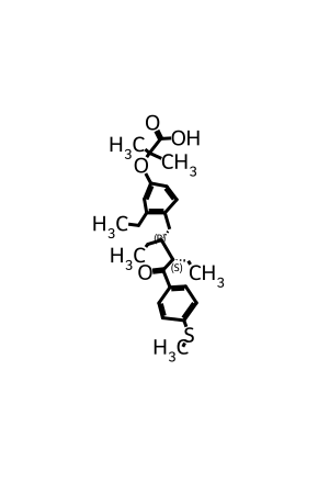 CCc1cc(OC(C)(C)C(=O)O)ccc1C[C@@H](CC)[C@H](CC)C(=O)c1ccc(SC)cc1